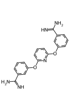 N=C(N)c1cccc(Oc2cccc(Oc3cccc(C(=N)N)c3)n2)c1